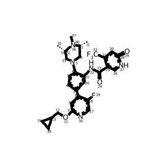 C[C@@H]1CN(c2ccc(-c3cc(OCC4CC4)ncc3F)cc2NC(=O)c2c[nH]c(=O)cc2C(F)(F)F)C[C@H](C)N1C